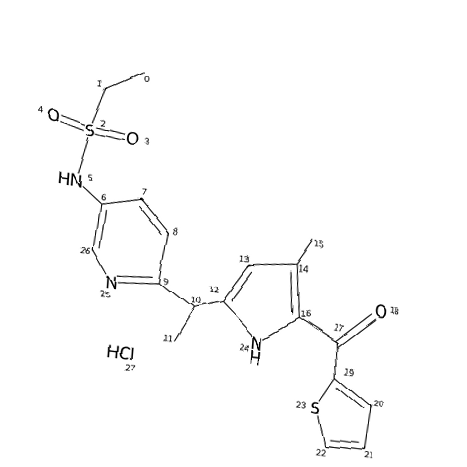 CCS(=O)(=O)Nc1ccc(C(C)c2cc(C)c(C(=O)c3cccs3)[nH]2)nc1.Cl